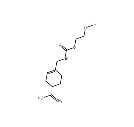 C=C(C)[C@@H]1CC=C(CNC(=O)OCCOCC)CC1